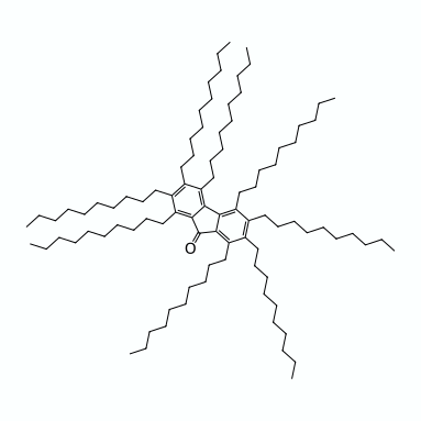 CCCCCCCCCCc1c(CCCCCCCCCC)c(CCCCCCCCCC)c2c(c1CCCCCCCCCC)C(=O)c1c(CCCCCCCCCC)c(CCCCCCCCCC)c(CCCCCCCCCC)c(CCCCCCCCCC)c1-2